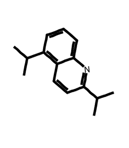 CC(C)c1ccc2c(C(C)C)cccc2n1